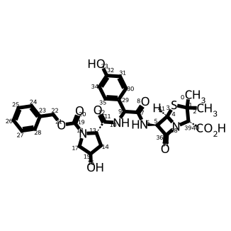 CC1(C)S[C@@H]2[C@H](NC(=O)C(NC(=O)[C@@H]3CC(O)CN3C(=O)OCc3ccccc3)c3ccc(O)cc3)C(=O)N2[C@H]1C(=O)O